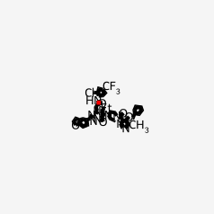 CCc1c(N2CCN(C(=O)c3ncnc(C)c3OCc3ccccc3)CC2)c(=O)n2nc(-c3ccc4c(c3)CCO4)nc2n1CC(=O)Nc1ccc(C(F)(F)F)cc1Cl